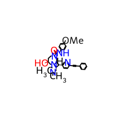 COc1ccc(NC(=O)N2CC[C@H](O)CN3[C@H](CN(C)C)[C@H](c4ccc(C#Cc5ccccc5)nc4)[C@@H]3C2)cc1